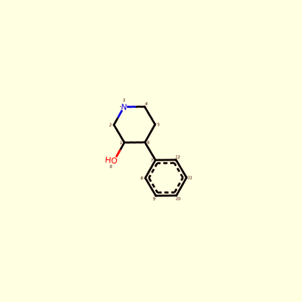 OC1C[N]CCC1c1ccccc1